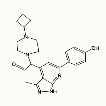 Cc1n[nH]c2nc(-c3ccc(O)cc3)cc(C(C=O)N3CCN(C4CCC4)CC3)c12